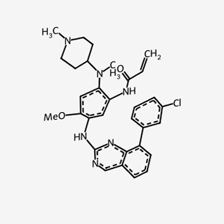 C=CC(=O)Nc1cc(Nc2ncc3cccc(-c4cccc(Cl)c4)c3n2)c(OC)cc1N(C)C1CCN(C)CC1